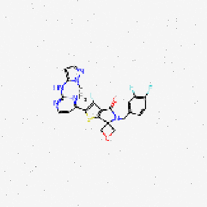 Cn1nccc1Nc1nccc(-c2sc3c(c2F)C(=O)N(Cc2ccc(F)c(F)c2)C32COC2)n1